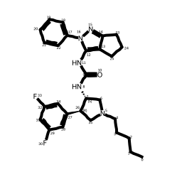 CCCCCN1C[C@@H](NC(=O)Nc2c3c(nn2-c2ccccc2)CCC3)[C@H](c2cc(F)cc(F)c2)C1